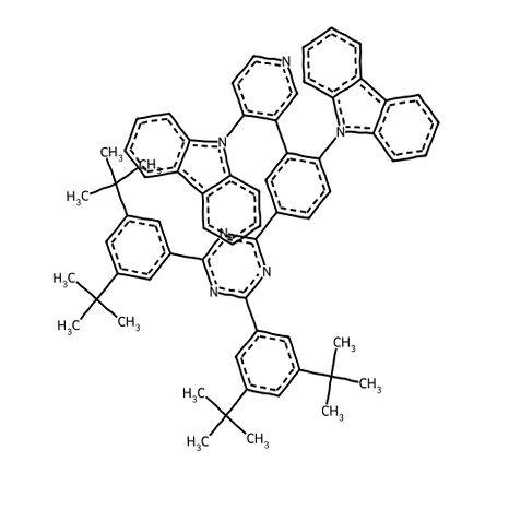 CC(C)(C)c1cc(-c2nc(-c3cc(C(C)(C)C)cc(C(C)(C)C)c3)nc(-c3ccc(-n4c5ccccc5c5ccccc54)c(-c4cnccc4-n4c5ccccc5c5ccccc54)c3)n2)cc(C(C)(C)C)c1